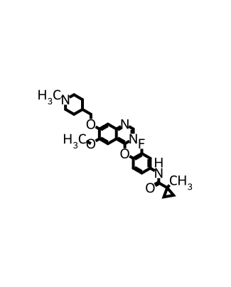 COc1cc2c(Oc3ccc(NC(=O)C4(C)CC4)cc3F)ncnc2cc1OCC1CCN(C)CC1